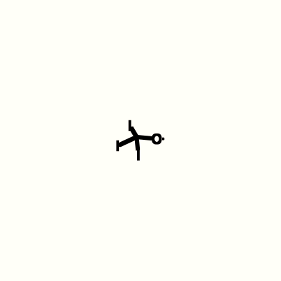 [O]C(I)(I)I